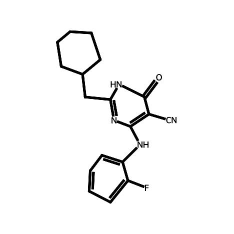 N#Cc1c(Nc2ccccc2F)nc(CC2CCCCC2)[nH]c1=O